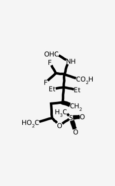 C=C(CC(OS(C)(=O)=O)C(=O)O)C(CC)(CC)C(NC=O)(C(=O)O)C(F)F